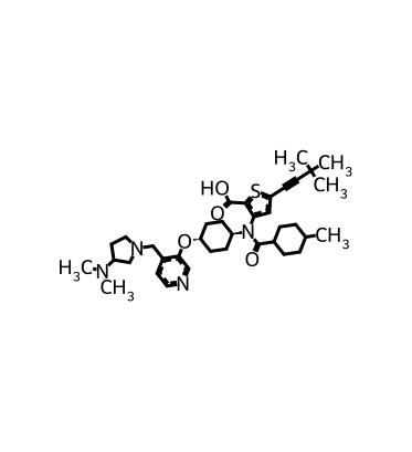 CC1CCC(C(=O)N(c2cc(C#CC(C)(C)C)sc2C(=O)O)[C@H]2CC[C@H](Oc3cnccc3CN3CCC(N(C)C)C3)CC2)CC1